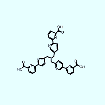 O=C(O)c1cccc(-c2ccc(CN(Cc3ccc(-c4cccc(C(=O)O)n4)nc3)Cc3ccc(-c4cccc(C(=O)O)n4)nc3)nc2)n1